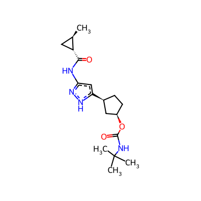 C[C@@H]1C[C@H]1C(=O)Nc1cc([C@H]2CC[C@@H](OC(=O)NC(C)(C)C)C2)[nH]n1